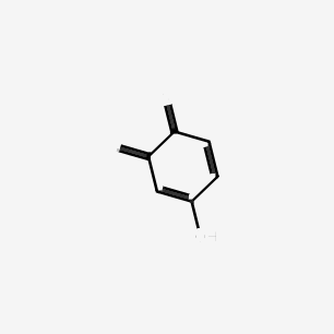 OC1=CC(=S)C(=S)C=[C]1